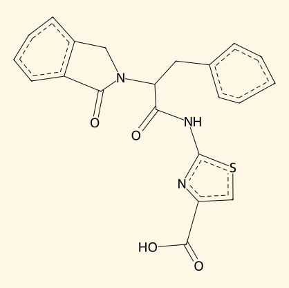 O=C(O)c1csc(NC(=O)C(Cc2ccccc2)N2Cc3ccccc3C2=O)n1